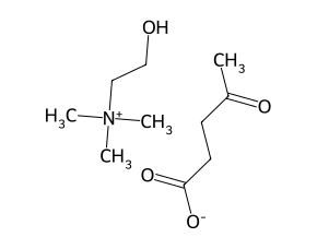 CC(=O)CCC(=O)[O-].C[N+](C)(C)CCO